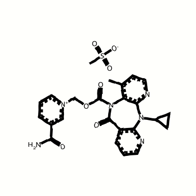 CS(=O)(=O)[O-].Cc1ccnc2c1N(C(=O)OC[n+]1cccc(C(N)=O)c1)C(=O)c1cccnc1N2C1CC1